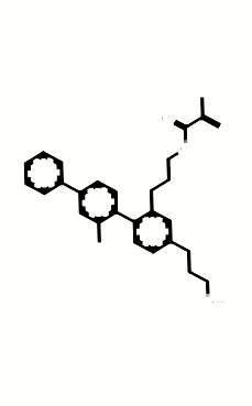 C=C(C)C(=O)OCCCc1cc(CCCO)ccc1-c1ccc(-c2ccccc2)cc1C